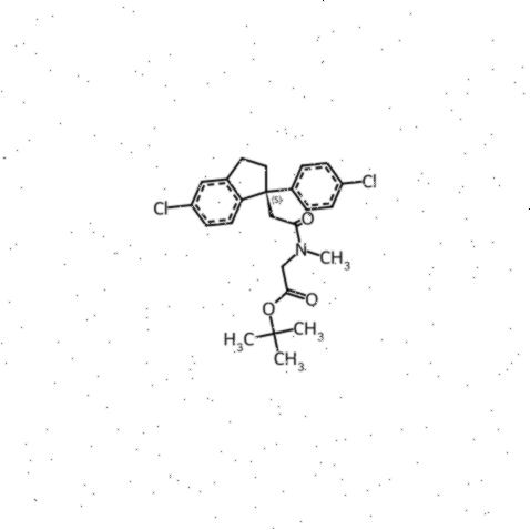 CN(CC(=O)OC(C)(C)C)C(=O)C[C@]1(c2ccc(Cl)cc2)CCc2cc(Cl)ccc21